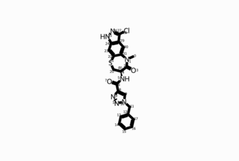 CN1C(=O)[C@@H](NC(=O)c2cn(Cc3ccccc3)nn2)CSc2cc3[nH]nc(Cl)c3cc21